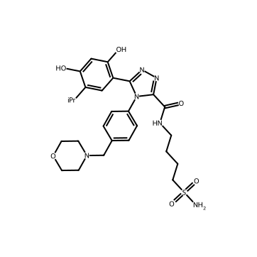 CC(C)c1cc(-c2nnc(C(=O)NCCCCS(N)(=O)=O)n2-c2ccc(CN3CCOCC3)cc2)c(O)cc1O